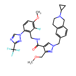 COCc1nn(Cc2ccc3c(c2)CCN(C2CC2)C3)cc1C(=O)NCc1c(-n2cnc(C(F)(F)F)n2)ccc(OC)c1F